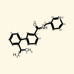 CC(C)c1ccccc1-c1cccc(C(=O)NCc2cccnc2)c1